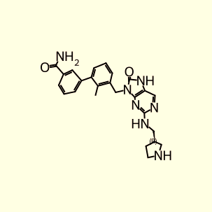 Cc1c(Cn2c(=O)[nH]c3cnc(NC[C@@H]4CCNC4)nc32)cccc1-c1cccc(C(N)=O)c1